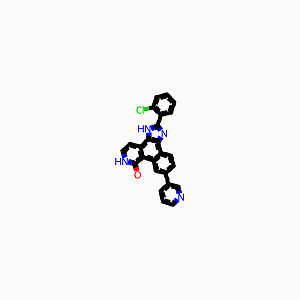 O=c1[nH]ccc2c3[nH]c(-c4ccccc4Cl)nc3c3ccc(-c4cccnc4)cc3c12